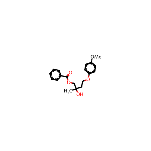 COc1ccc(OCCC(C)(O)COC(=O)c2ccccc2)cc1